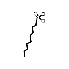 CCCCCCCCCC[Si](Cl)(Cl)Cl